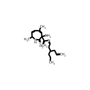 C=CCC(C/C=N\C(=C)C1(N)/C=C(C)\C=C/C(C)NC1=C)CCC